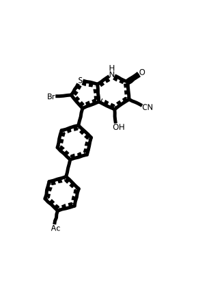 CC(=O)c1ccc(-c2ccc(-c3c(Br)sc4[nH]c(=O)c(C#N)c(O)c34)cc2)cc1